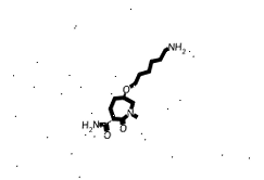 CN1C[C@H](OCCCCCCN)CC[C@@H](C(N)=O)C1=O